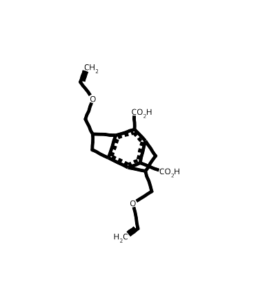 C=COCC1Cc2c(C(=O)O)c1c1c(c2C(=O)O)C(COC=C)C1